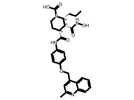 CCC[C@@H]1[C@H](C(=O)NO)[C@H](C(=O)Nc2ccc(OCc3cc(C)nc4ccccc34)cc2)CCN1C(=O)O